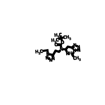 CCn1nnnc1CCN(C(=O)OC(C)(C)C)C(N)Cc1nnnn1CC